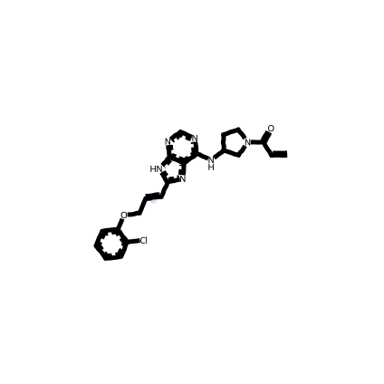 C=CC(=O)N1CCC(Nc2ncnc3[nH]c(/C=C/COc4ccccc4Cl)nc23)C1